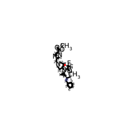 CC/C(=C\c1ccccc1)[C@@H]1C[C@H]1N(C(=O)C(F)(F)F)C1CCN(Cc2cnc(C(=O)OC)cn2)CC1